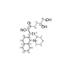 CCC1CCCCN1c1c(/C=C(\C#N)C(=O)CCC(O)CO)ccc2ccccc12